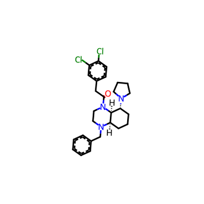 O=C(Cc1ccc(Cl)c(Cl)c1)N1CCN(Cc2ccccc2)[C@@H]2CCC[C@@H](N3CCCC3)[C@@H]21